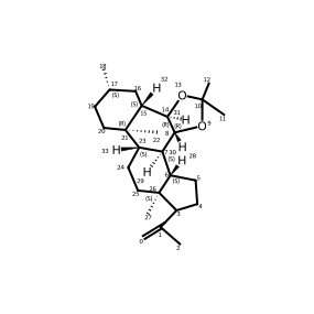 C=C(C)C1CC[C@H]2[C@@H]3[C@H]4OC(C)(C)O[C@@H]4[C@H]4C[C@@H](C)CC[C@]4(C)[C@H]3CC[C@]12C